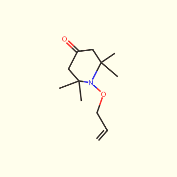 C=CCON1C(C)(C)CC(=O)CC1(C)C